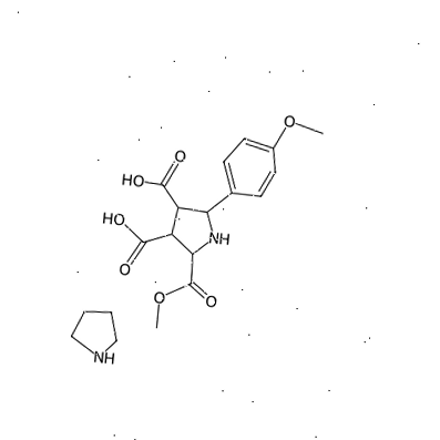 C1CCNC1.COC(=O)C1NC(c2ccc(OC)cc2)C(C(=O)O)C1C(=O)O